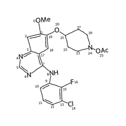 COc1cc2ncnc(Nc3cccc(Cl)c3F)c2cc1OC1CCN(OC(C)=O)CC1